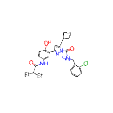 CCC(CC)C(=O)Nc1ccc(O)c(-c2cc(C3CCC3)n(C(=O)NCc3ccccc3Cl)n2)c1